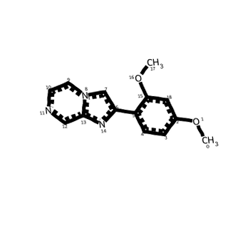 COc1ccc(-c2cn3ccncc3n2)c(OC)c1